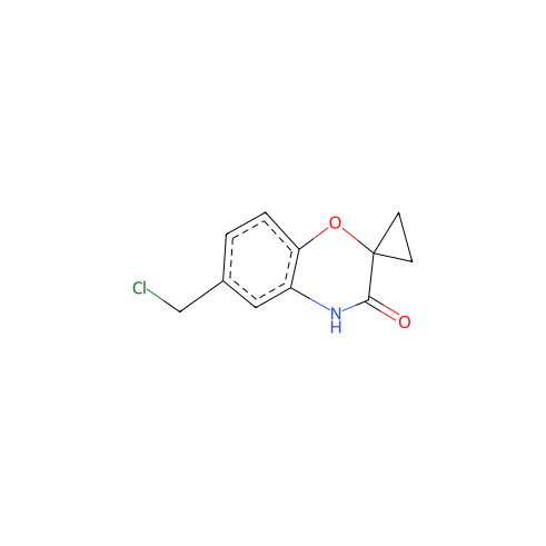 O=C1Nc2cc(CCl)ccc2OC12CC2